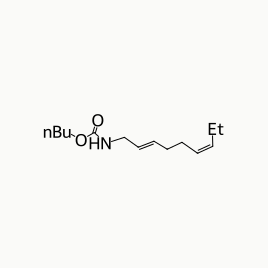 CC/C=C\CC/C=C/CNC(=O)OCCCC